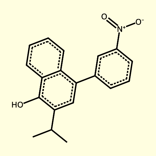 CC(C)c1cc(-c2cccc([N+](=O)[O-])c2)c2ccccc2c1O